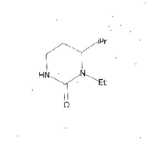 CCN1C(=O)NCCC1C(C)C